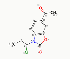 CCC(Cl)n1c(=O)oc2cc(C(C)=O)ccc21